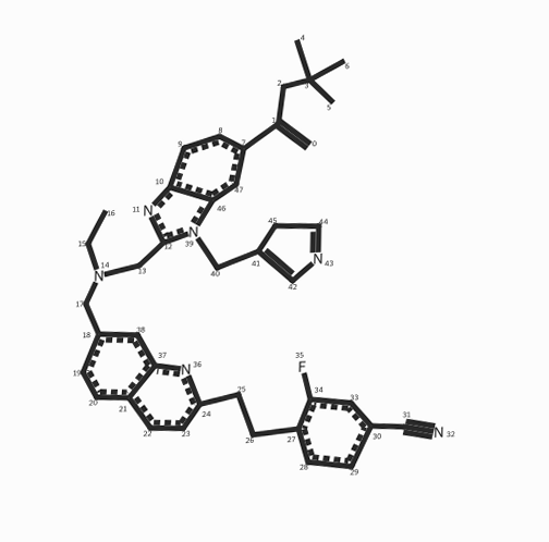 C=C(CC(C)(C)C)c1ccc2nc(CN(CC)Cc3ccc4ccc(CCc5ccc(C#N)cc5F)nc4c3)n(CC3=CN=CC3)c2c1